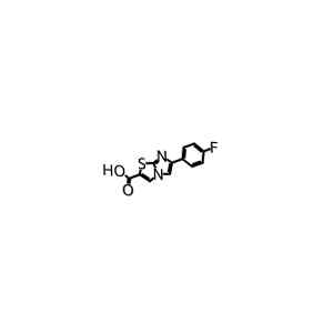 O=C(O)c1cn2cc(-c3ccc(F)cc3)nc2s1